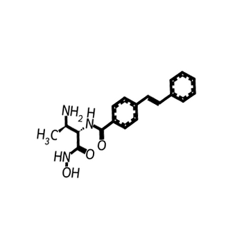 C[C@@H](N)[C@H](NC(=O)c1ccc(C=Cc2ccccc2)cc1)C(=O)NO